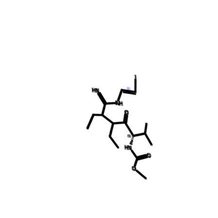 CCC(C(=N)N/C=C/I)C(CC)C(=O)[C@@H](NC(=O)OC)C(C)C